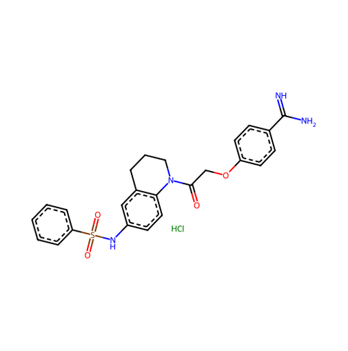 Cl.N=C(N)c1ccc(OCC(=O)N2CCCc3cc(NS(=O)(=O)c4ccccc4)ccc32)cc1